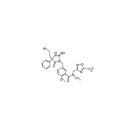 CC(C)CCC1(c2ccccc2)NC(=N)N(Cc2ccc(C(F)(F)F)c(C(=O)N(C)Cc3noc(C4CC4)n3)c2)C1=O